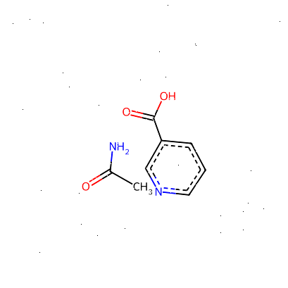 CC(N)=O.O=C(O)c1cccnc1